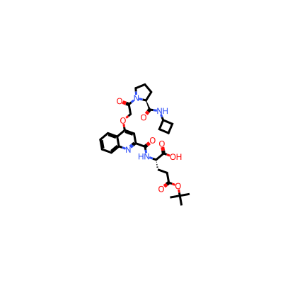 CC(C)(C)OC(=O)CC[C@H](NC(=O)c1cc(OCC(=O)N2CCC[C@H]2C(=O)NC2CCC2)c2ccccc2n1)C(=O)O